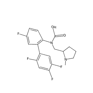 CN1CCCC1CN(C(=O)O)c1ccc(F)cc1-c1cc(F)c(F)cc1F